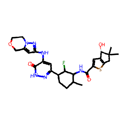 CC1CCC(c2cc(Nc3cc4n(n3)CCOC4)c(=O)[nH]n2)C(F)C1NC(=O)c1cc2c(s1)CC(C)(C)[C@H]2O